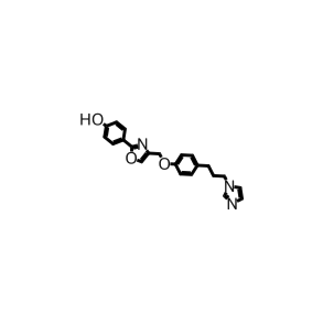 Oc1ccc(-c2nc(COc3ccc(CCCn4ccnc4)cc3)co2)cc1